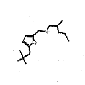 CCCC(C)CNCc1ccc(CC(C)(C)C)o1